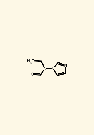 CCN(C=O)n1ccnc1